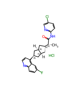 C[C@@H](C(=O)Nc1ccc(Cl)cn1)[C@@H]1C[C@H]2C[C@@H](c3ccnc4ccc(F)cc34)C[C@H]2C1.Cl